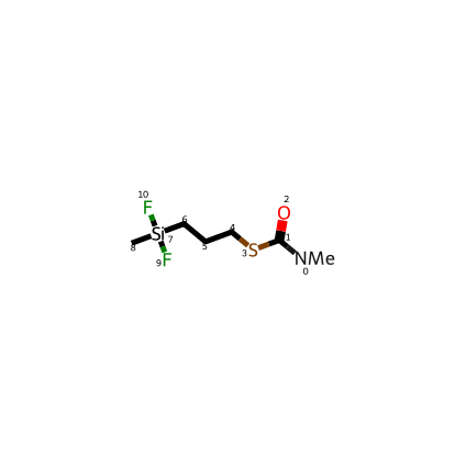 CNC(=O)SCCC[Si](C)(F)F